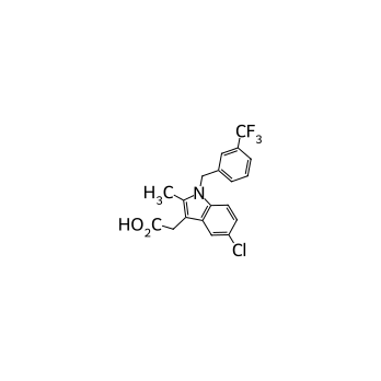 Cc1c(CC(=O)O)c2cc(Cl)ccc2n1Cc1cccc(C(F)(F)F)c1